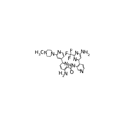 CN1CCN(c2cc(-c3ccc(N)c(C(=O)Nc4cnccc4-c4cc(N)nc(C(F)(F)F)n4)n3)ccn2)CC1